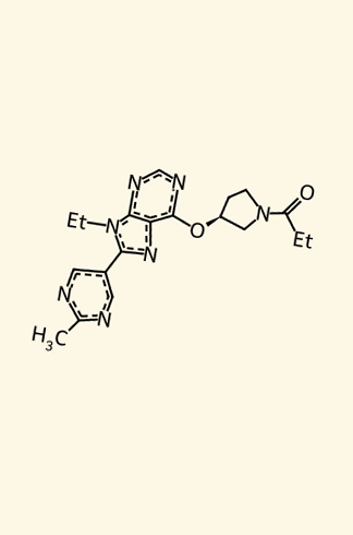 CCC(=O)N1CC[C@H](Oc2ncnc3c2nc(-c2cnc(C)nc2)n3CC)C1